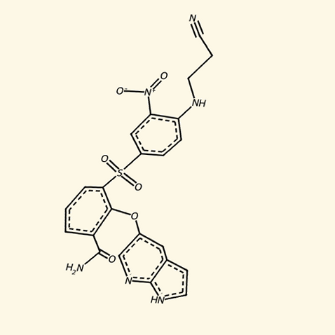 N#CCCNc1ccc(S(=O)(=O)c2cccc(C(N)=O)c2Oc2cnc3[nH]ccc3c2)cc1[N+](=O)[O-]